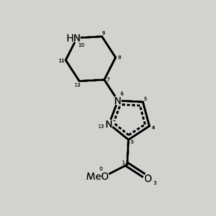 COC(=O)c1ccn(C2CCNCC2)n1